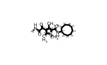 Cc1c(C(=O)C(=O)NI)c(C)n(C)c1C(=O)NC1CCCCCCCC1